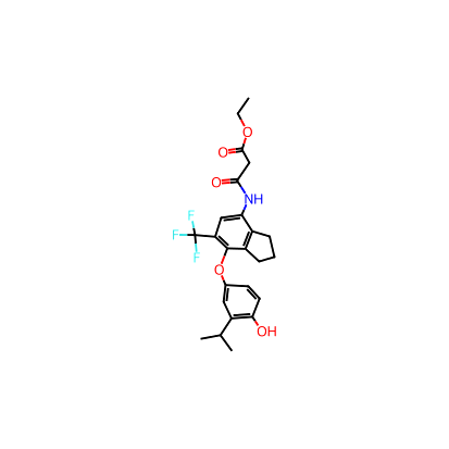 CCOC(=O)CC(=O)Nc1cc(C(F)(F)F)c(Oc2ccc(O)c(C(C)C)c2)c2c1CCC2